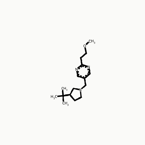 COCCc1ncc(CN2CCC(C(C)(C)C)C2)cn1